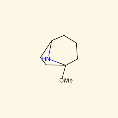 COC12CCCC(CC1)N2